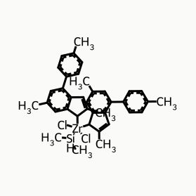 CC1=Cc2c(-c3ccc(C)cc3)cc(C)cc2[CH]1[Zr]([Cl])([Cl])([CH]1C(C)=Cc2c(-c3ccc(C)cc3)cc(C)cc21)[SiH](C)C